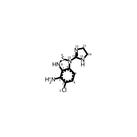 Nc1c(Cl)ccc2c1NSN2C1=NCCN1